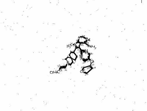 Cn1c(C2=CCC3(CC2)CCN(C=CC=O)CC3)c(-c2ncc(O[C@H]3CCOC3)cn2)c2c(N)ncnc21